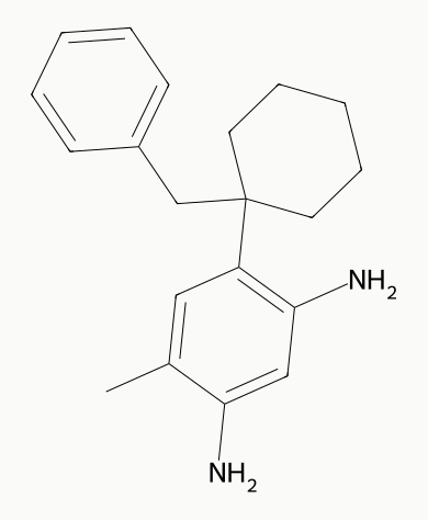 Cc1cc(C2(Cc3ccccc3)CCCCC2)c(N)cc1N